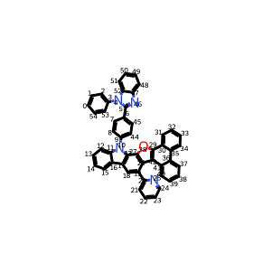 c1ccc(-n2c(-c3ccc(-n4c5ccccc5c5cc(-c6ccccn6)c6c(oc7c8ccccc8c8ccccc8c76)c54)cc3)nc3ccccc32)cc1